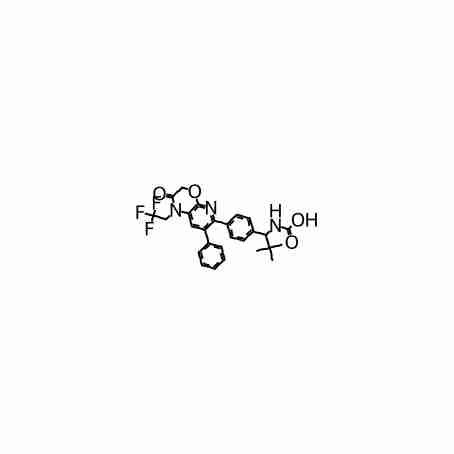 CC(C)(C)C(NC(=O)O)c1ccc(-c2nc3c(cc2-c2ccccc2)N(CC(F)(F)F)C(=O)CO3)cc1